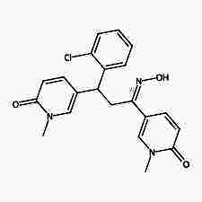 Cn1cc(/C(CC(c2ccc(=O)n(C)c2)c2ccccc2Cl)=N\O)ccc1=O